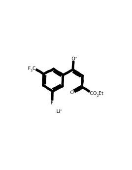 CCOC(=O)C(=O)/C=C(/[O-])c1cc(F)cc(C(F)(F)F)c1.[Li+]